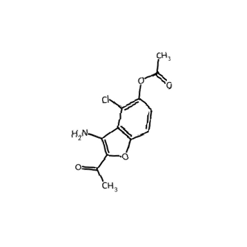 CC(=O)Oc1ccc2oc(C(C)=O)c(N)c2c1Cl